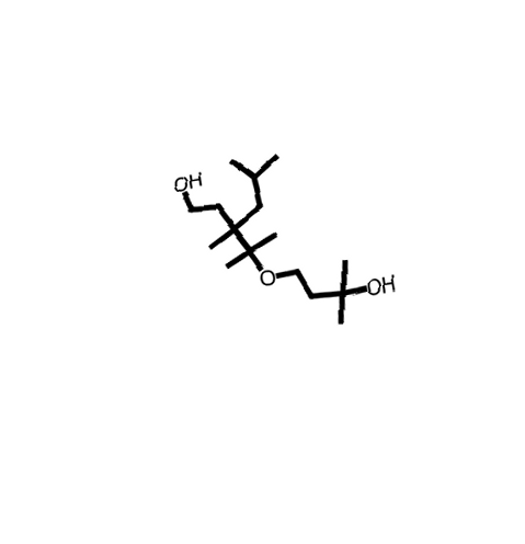 CC(C)CC(C)(CCO)C(C)(C)OCCC(C)(C)O